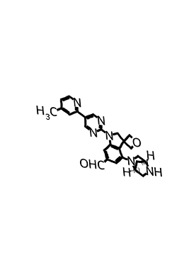 Cc1ccnc(-c2cnc(N3CC4(COC4)c4c3cc(C=O)cc4N3C[C@@H]4C[C@H]3CN4)nc2)c1